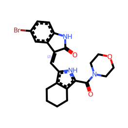 O=C1Nc2ccc(Br)cc2/C1=C/c1[nH]c(C(=O)N2CCOCC2)c2c1CCCC2